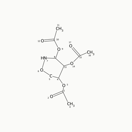 CC(=O)OC1CONC(OC(C)=O)C1OC(C)=O